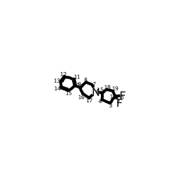 FC1(F)CCC(N2CCC(c3ccccc3)CC2)CC1